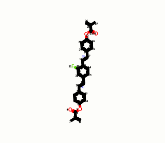 C=C(C)C(=O)Oc1ccc(/C=C/c2ccc(/C=C/c3ccc(OC(=O)C(=C)C)cc3)c(F)c2)cc1